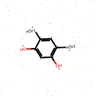 CCCCCCCCc1cc(CCCCCCCC)c(O)cc1O